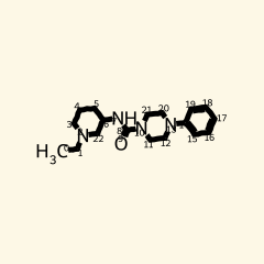 CCN1CCCC(NC(=O)N2CCN(c3ccccc3)CC2)C1